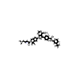 CN(C)C/C=C/C(=O)N1CC2CC(n3nc(-c4ccc(C(=O)Nc5cc(C(F)(F)F)ccn5)cc4)c4c(N)ncnc43)CC2C1(C)C